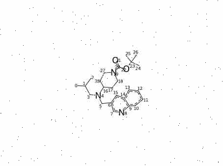 CC(C)CN(Cc1cnc2ccccc2c1)C1CCN(C(=O)OC(C)(C)C)CC1